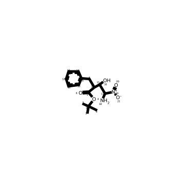 CC(C)(C)OC(=O)C(Cc1ccccc1)C(O)C(N)[N+](=O)[O-]